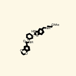 COCCNCc1ccc2nc([C@H]3CCC[C@@H](NC(=O)c4ccc5c(c4)OCCO5)C3)[nH]c2c1